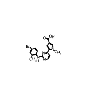 Cc1cc(Br)ccc1Nc1nccc(-c2cc(C(=O)O)cn2C)n1